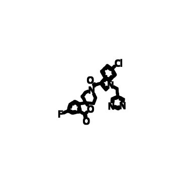 O=C1OC2(CCN(C(=O)c3cn(Cc4cncnc4)c4cc(Cl)ccc34)CC2)c2ccc(F)cc21